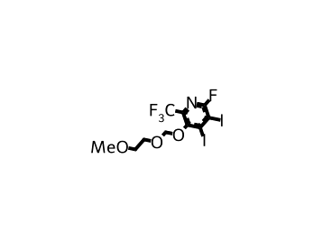 COCCOCOc1c(C(F)(F)F)nc(F)c(I)c1I